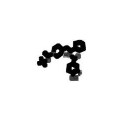 C=C(OC(C)(C)C)N1CCC(CC(NC(=O)c2ccc(O)c(F)c2)c2ccccc2)CC1